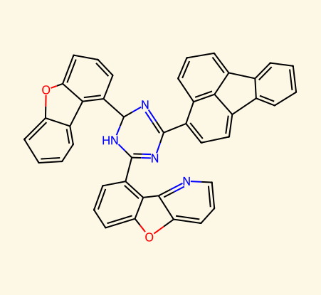 c1ccc2c(c1)-c1cccc3c(C4=NC(c5cccc6oc7ccccc7c56)NC(c5cccc6oc7cccnc7c56)=N4)ccc-2c13